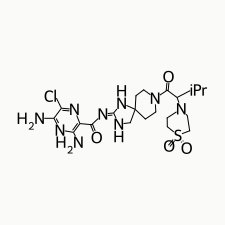 CC(C)C(C(=O)N1CCC2(CC1)CN/C(=N\C(=O)c1nc(Cl)c(N)nc1N)N2)N1CCS(=O)(=O)CC1